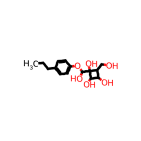 CCCc1ccc(OC(O)C2(O)C(O)C(O)C2CO)cc1